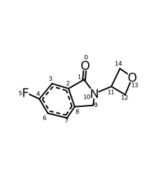 O=C1c2cc(F)ccc2CN1C1COC1